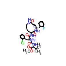 COC(=O)[C@@H](NC(=O)N[C@@H](Cc1ccccc1Cl)C(=O)N[C@H]1CCCCNC(=O)/C=C/[C@H](Cc2ccccc2F)NC1=O)C(C)C